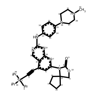 CC(C)[Si](C#Cc1cc(N2C(=O)OCC23CCCC3)nc2nc(Nc3ccc(N4CCN(C)CC4)cc3)ncc12)(C(C)C)C(C)C